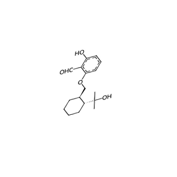 CC(C)(O)[C@@H]1CCCC[C@H]1COc1cccc(O)c1C=O